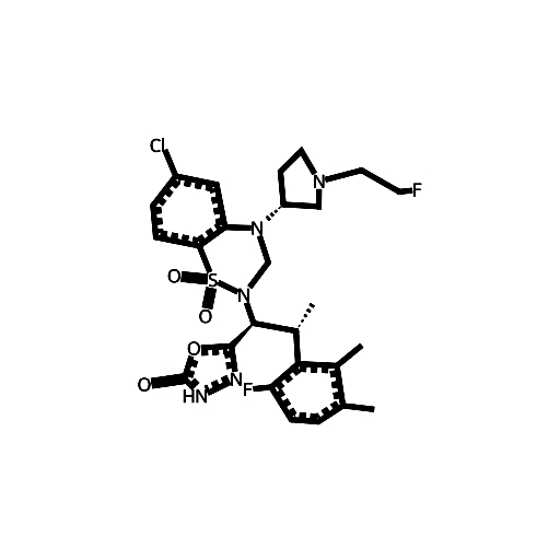 Cc1ccc(F)c([C@@H](C)[C@@H](c2n[nH]c(=O)o2)N2CN([C@@H]3CCN(CCF)C3)c3cc(Cl)ccc3S2(=O)=O)c1C